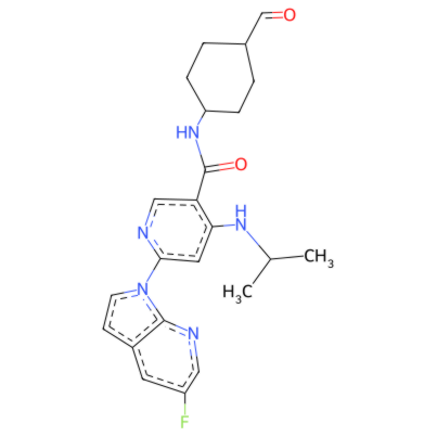 CC(C)Nc1cc(-n2ccc3cc(F)cnc32)ncc1C(=O)NC1CCC(C=O)CC1